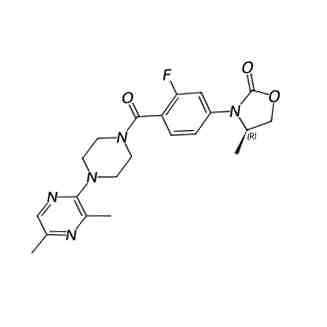 Cc1cnc(N2CCN(C(=O)c3ccc(N4C(=O)OC[C@H]4C)cc3F)CC2)c(C)n1